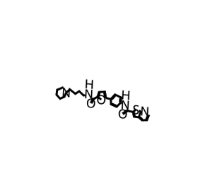 O=C(NCCCCN1CCCCC1)c1ccc(-c2ccc(NC(=O)c3cc4cccnc4s3)cc2)o1